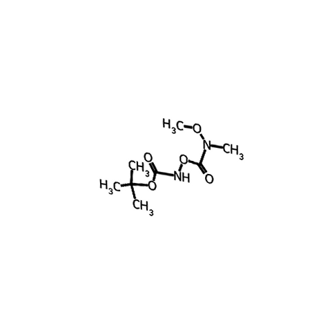 CON(C)C(=O)ONC(=O)OC(C)(C)C